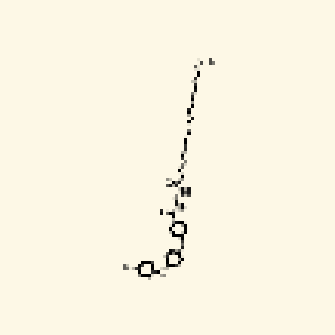 CCCCCCCCCCCCCCCCCC(=O)NCNC(=O)c1ccc(Oc2ccc(Oc3ccc(O)cc3)cc2)cc1